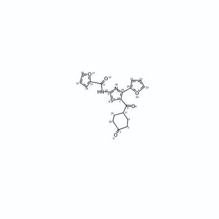 O=C1CCC(C(=O)c2sc(NC(=O)c3ccco3)nc2-c2ccco2)CC1